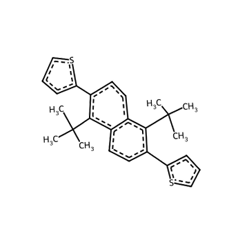 CC(C)(C)c1c(-c2cccs2)ccc2c(C(C)(C)C)c(-c3cccs3)ccc12